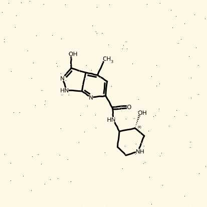 Cc1cc(C(=O)NC2CCNC[C@H]2O)nc2[nH]nc(O)c12